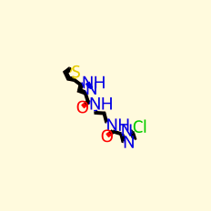 O=C(NCCCNC(=O)c1cncc(Cl)n1)c1cc(-c2cccs2)[nH]n1